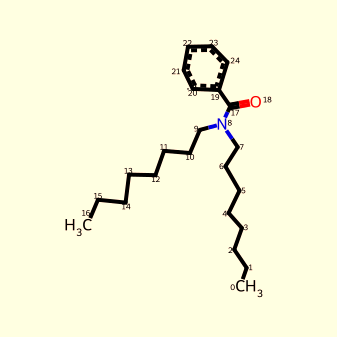 CCCCCCCCN(CCCCCCCC)C(=O)c1[c]cccc1